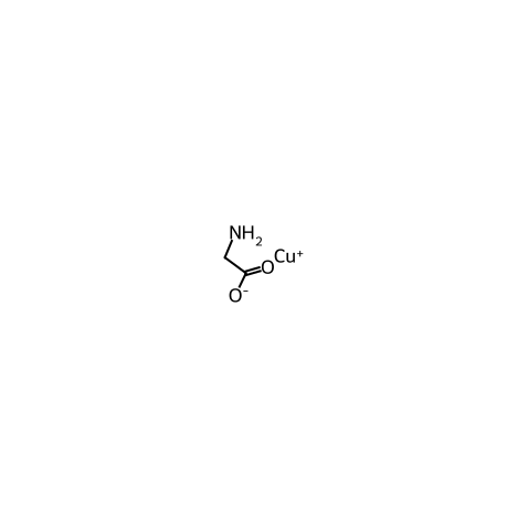 NCC(=O)[O-].[Cu+]